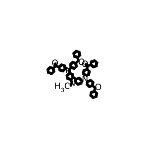 CCn1c2ccc(N(c3ccc(C(=O)c4ccccc4)cc3)c3ccc(C(=O)c4ccccc4)cc3)cc2c2cc(N(c3ccc(C(=O)c4ccccc4)cc3)c3ccc(C(=O)c4ccccc4)cc3)ccc21